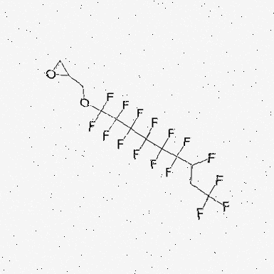 FC(CC(F)(F)F)C(F)(F)C(F)(F)C(F)(F)C(F)(F)C(F)(F)C(F)(F)OCC1CO1